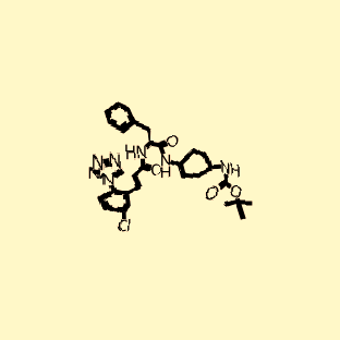 CC(C)(C)OC(=O)NC1CCC(NC(=O)[C@H](Cc2ccccc2)NC(=O)C=Cc2cc(Cl)ccc2-n2cnnn2)CC1